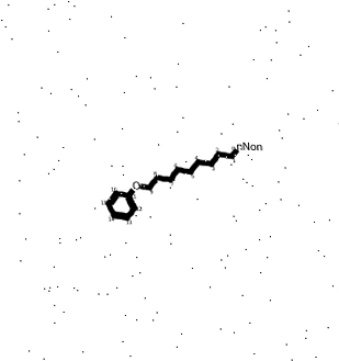 CCCCCCCCCCCCCCCCCCOc1[c]c[c]cc1